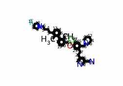 Cc1c(CCCCN2CCC(F)C2)cccc1-c1cccc(COc2cc(CCc3cncc(C#N)c3)c(CN3CCCCC3)cc2Cl)c1C